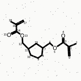 C=C(C)C(=O)OCC1CCCC(COC(=O)C(=C)C)C1